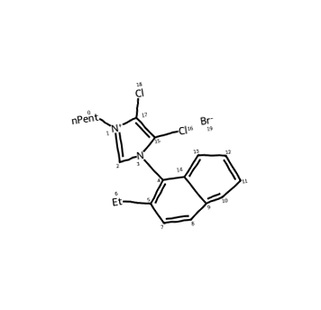 CCCCC[n+]1cn(-c2c(CC)ccc3ccccc23)c(Cl)c1Cl.[Br-]